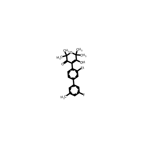 CCc1cc(-c2cc(C)cc(F)c2)ccc1C1=C(O)C(C)(C)OC(C)(C)C1=O